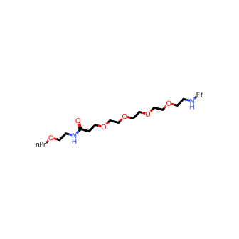 CCCOCCNC(=O)CCOCCOCCOCCOCCNCC